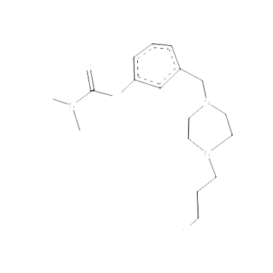 CN(C)C(=O)Oc1cccc(CN2CCN(CCCO)CC2)c1